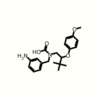 COc1ccc(OC(CN(Cc2cccc(N)c2)C(=O)O)C(C)(C)C)cc1